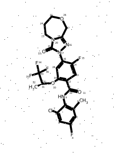 Cc1cc(F)cc(Cl)c1NC(=O)c1cc(F)c(-n2nc3n(c2=O)CCCOC3)cc1O[C@@H](C)C(F)(F)F